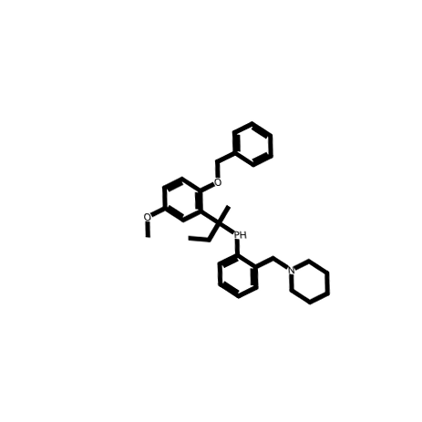 CCC(C)(Pc1ccccc1CN1CCCCC1)c1cc(OC)ccc1OCc1ccccc1